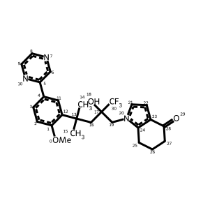 COc1ccc(-c2cnccn2)cc1C(C)(C)CC(O)(Cn1ccc2c1CCCC2=O)C(F)(F)F